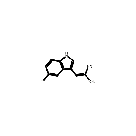 C/C(=C/c1c[nH]c2ccc(Cl)cc12)[N+](=O)[O-]